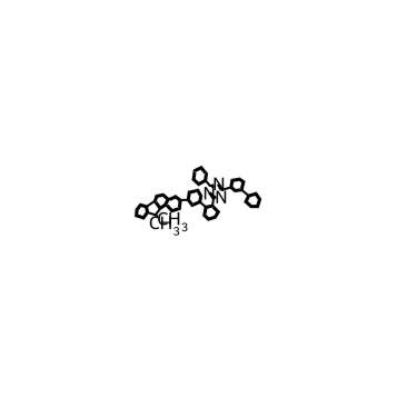 CC1(C)c2ccccc2-c2ccc3cc(-c4cccc(-c5ccccc5-c5nc(-c6ccccc6)nc(-c6cccc(-c7ccccc7)c6)n5)c4)ccc3c21